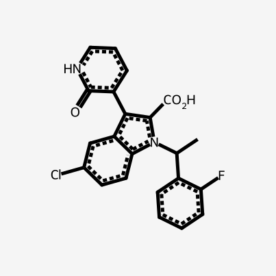 CC(c1ccccc1F)n1c(C(=O)O)c(-c2ccc[nH]c2=O)c2cc(Cl)ccc21